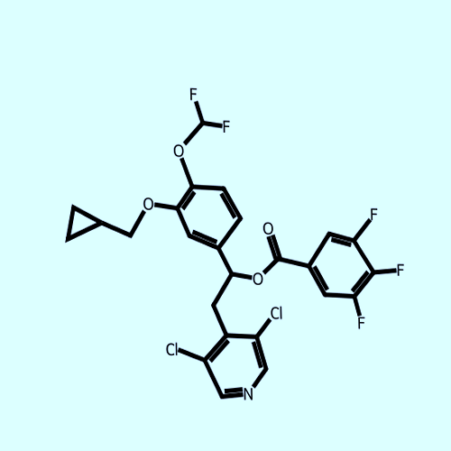 O=C(OC(Cc1c(Cl)cncc1Cl)c1ccc(OC(F)F)c(OCC2CC2)c1)c1cc(F)c(F)c(F)c1